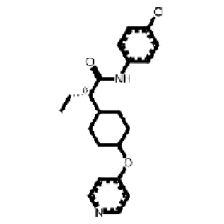 CC[C@H](C(=O)Nc1ccc(Cl)cc1)C1CCC(Oc2ccncc2)CC1